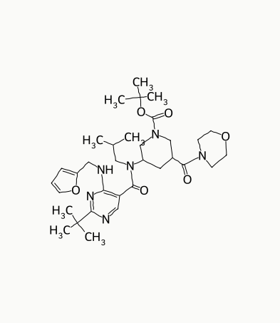 CC(C)CN(C(=O)c1cnc(C(C)(C)C)nc1NCc1ccco1)C1CC(C(=O)N2CCOCC2)CN(C(=O)OC(C)(C)C)C1